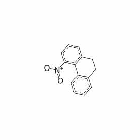 O=[N+]([O-])c1cccc2c1-c1ccccc1CC2